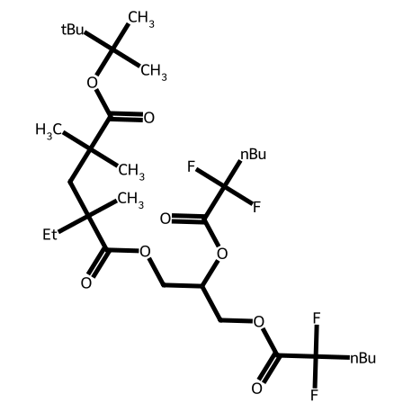 CCCCC(F)(F)C(=O)OCC(COC(=O)C(C)(CC)CC(C)(C)C(=O)OC(C)(C)C(C)(C)C)OC(=O)C(F)(F)CCCC